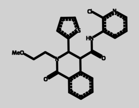 COCCN1C(=O)c2ccccc2C(C(=O)Nc2cccnc2Cl)C1c1cccs1